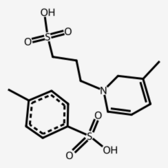 CC1=CC=CN(CCCS(=O)(=O)O)C1.Cc1ccc(S(=O)(=O)O)cc1